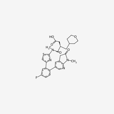 CN(C(=O)[C@@H](CC(=O)O)CC1CCOCC1)c1nc(-c2cc(F)ccc2-c2cnc3c(c2)CC(=O)N3C)cs1